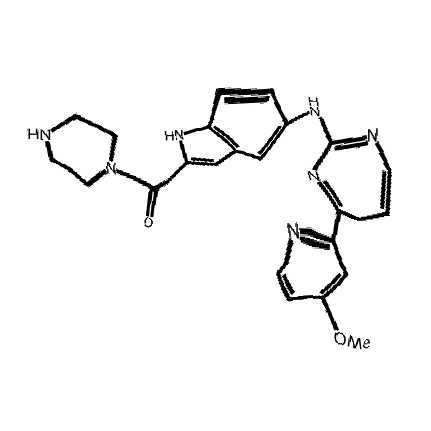 COc1ccnc(-c2ccnc(Nc3ccc4[nH]c(C(=O)N5CCNCC5)cc4c3)n2)c1